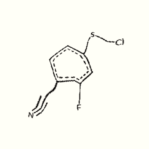 N#Cc1ccc(SCl)cc1F